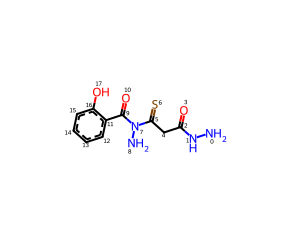 NNC(=O)CC(=S)N(N)C(=O)c1ccccc1O